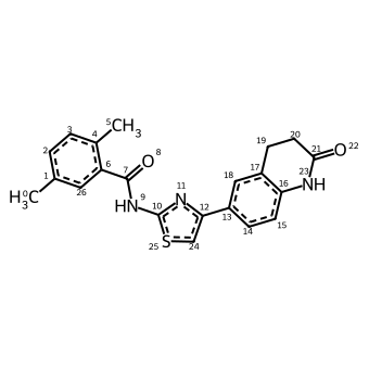 Cc1ccc(C)c(C(=O)Nc2nc(-c3ccc4c(c3)CCC(=O)N4)cs2)c1